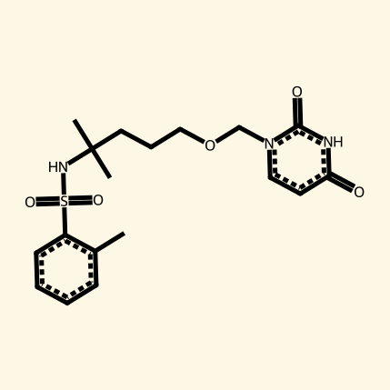 Cc1ccccc1S(=O)(=O)NC(C)(C)CCCOCn1ccc(=O)[nH]c1=O